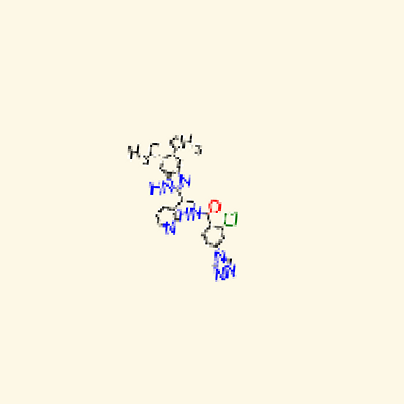 Cc1cc2nc([C@@H](CNC(=O)c3ccc(-n4cnnc4)cc3Cl)c3cccnc3)[nH]c2cc1C